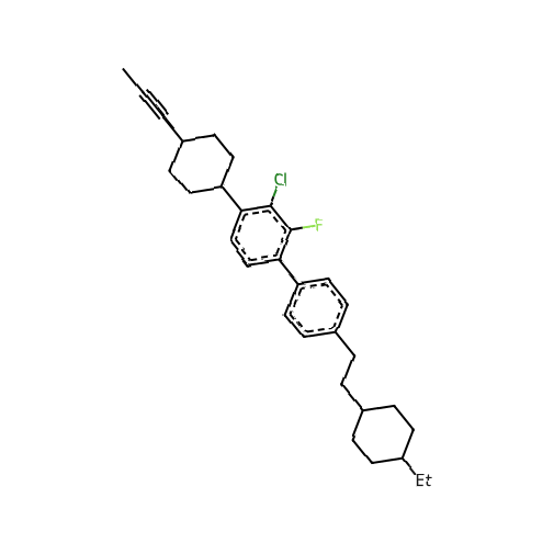 CC#CC1CCC(c2ccc(-c3ccc(CCC4CCC(CC)CC4)cc3)c(F)c2Cl)CC1